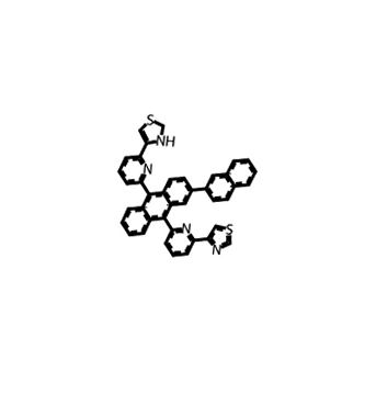 C1=C(c2cccc(-c3c4ccccc4c(-c4cccc(-c5cscn5)n4)c4cc(-c5ccc6ccccc6c5)ccc34)n2)NCS1